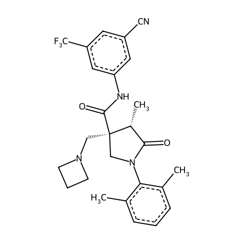 Cc1cccc(C)c1N1C[C@@](CN2CCC2)(C(=O)Nc2cc(C#N)cc(C(F)(F)F)c2)[C@H](C)C1=O